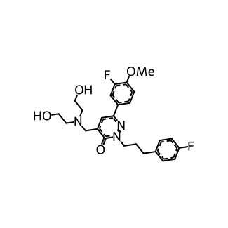 COc1ccc(-c2cc(CN(CCO)CCO)c(=O)n(CCCc3ccc(F)cc3)n2)cc1F